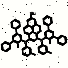 Cc1cccc(N(c2cc(-c3ccccc3)cc(-c3ccccc3)c2C)c2cc(N(c3cccc(C)c3)c3cc(-c4ccccc4)cc(-c4ccccc4)c3C)c3ccc4cc(C(C)(C)C)cc5ccc2c3c54)c1